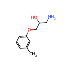 Cc1cccc(OCC(O)CN)c1